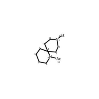 CCN1CCC2(CCCCN2C(C)=O)CC1